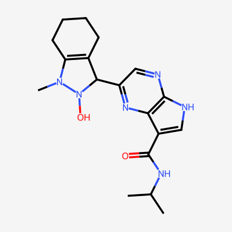 CC(C)NC(=O)c1c[nH]c2ncc(C3C4=C(CCCC4)N(C)N3O)nc12